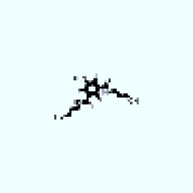 Nc1c(I)c(C(=O)NCCCO)c(I)c(C(=O)NCCCO)c1I